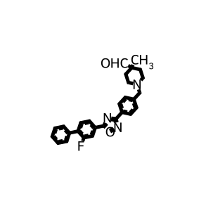 CC1(C=O)CCN(Cc2ccc(-c3noc(-c4ccc(-c5ccccc5)c(F)c4)n3)cc2)CC1